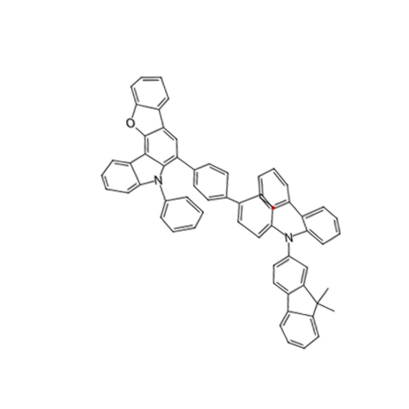 CC1(C)c2ccccc2-c2ccc(N(c3ccc(-c4ccc(-c5cc6c7ccccc7oc6c6c7ccccc7n(-c7ccccc7)c56)cc4)cc3)c3ccccc3-c3ccccc3)cc21